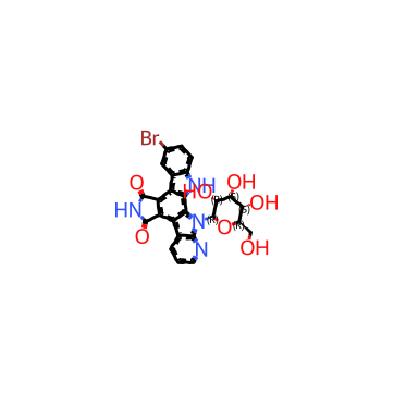 O=C1NC(=O)c2c1c1c3cc(Br)ccc3[nH]c1c1c2c2cccnc2n1[C@@H]1O[C@H](CO)[C@@H](O)[C@H](O)[C@H]1O